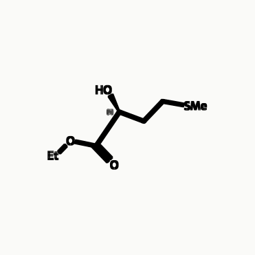 CCOC(=O)[C@@H](O)CCSC